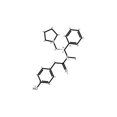 CN(C(=O)Cc1ccc(O)cc1)[C@H](CN1CCCC1)c1ccccc1